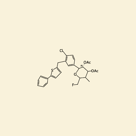 CC(=O)OC1C(C)C(CF)OC(c2ccc(Cl)c(Cc3ccc(-c4ccccc4)s3)c2)[C@@H]1OC(C)=O